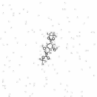 COc1cc(B2OC(C)(C)C(C)(C)O2)cc(OC)c1CN(C)C(=O)OC(C)(C)C